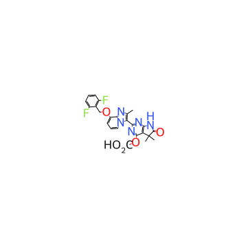 Cc1nc2c(OCc3c(F)cccc3F)cccn2c1-c1nc2c(c(OC(=O)O)n1)C(C)(C)C(=O)N2